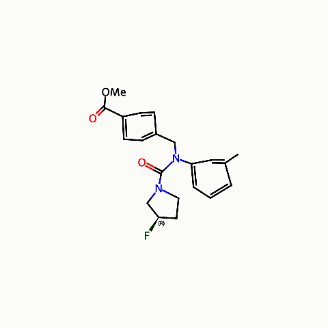 COC(=O)c1ccc(CN(C(=O)N2CC[C@@H](F)C2)c2cccc(C)c2)cc1